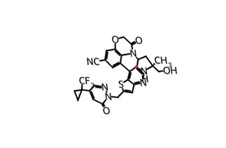 C[C@]1(CO)C[C@H](N2C(=O)COc3cc(C#N)cc(-c4ccnc5cc(Cn6ncc(C7(C(F)(F)F)CC7)cc6=O)sc45)c32)CN1